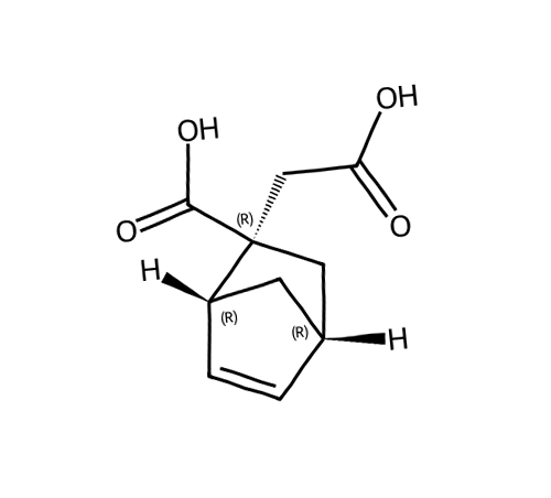 O=C(O)C[C@]1(C(=O)O)C[C@@H]2C=C[C@H]1C2